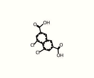 O=C(O)c1cc(Cl)c2c(Cl)cc(C(=O)O)cc2c1